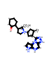 CC[C@@H]1C[C@H](N2CCC(C3CCCCC3=O)[C@H]2C(=O)O)C[C@@H]1c1nnc2cnc3[nH]ccc3n12